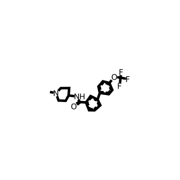 CN1CCC(NC(=O)c2cccc(-c3ccc(OC(F)(F)F)cc3)c2)CC1